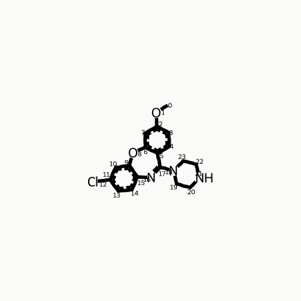 COc1ccc2c(c1)Oc1cc(Cl)ccc1N=C2N1CCNCC1